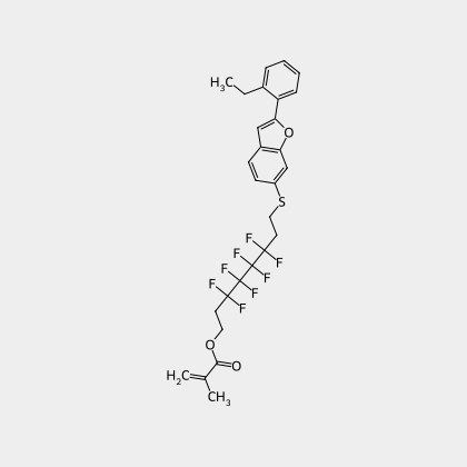 C=C(C)C(=O)OCCC(F)(F)C(F)(F)C(F)(F)C(F)(F)CCSc1ccc2cc(-c3ccccc3CC)oc2c1